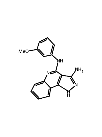 COc1cccc(Nc2nc3ccccc3c3[nH]nc(N)c23)c1